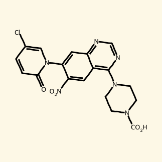 O=C(O)N1CCN(c2ncnc3cc(-n4cc(Cl)ccc4=O)c([N+](=O)[O-])cc23)CC1